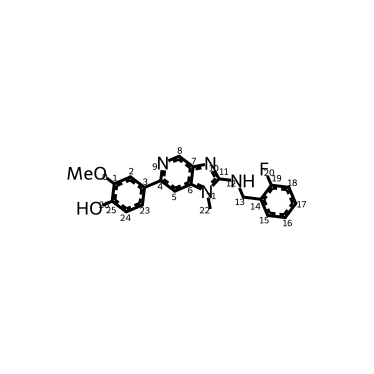 COc1cc(-c2cc3c(cn2)nc(NCc2ccccc2F)n3C)ccc1O